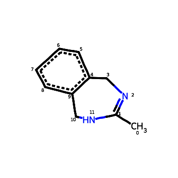 CC1=NCc2ccccc2CN1